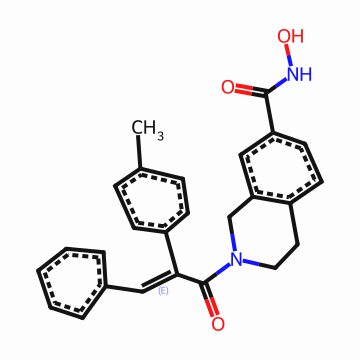 Cc1ccc(/C(=C\c2ccccc2)C(=O)N2CCc3ccc(C(=O)NO)cc3C2)cc1